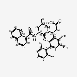 Cc1cccc(C)c1-c1cc(F)c(F)c([C@H](CC(=O)O)NC(=O)[C@H](CC(C)C)NC(=O)c2cccc3cccnc23)c1